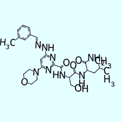 Cc1cccc(C=NNc2cc(N3CCOCC3)nc(C(=O)NC(CO)C(=O)NC(CC(C)C)C(N)=O)n2)c1